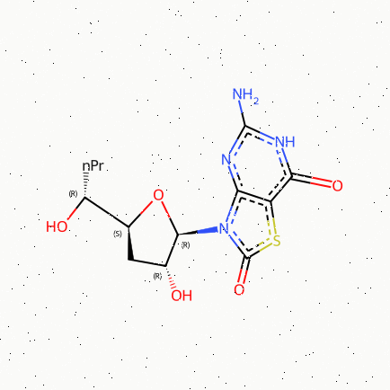 CCC[C@@H](O)[C@@H]1C[C@@H](O)[C@H](n2c(=O)sc3c(=O)[nH]c(N)nc32)O1